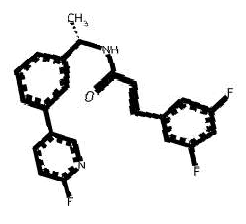 C[C@H](NC(=O)/C=C/c1cc(F)cc(F)c1)c1cccc(-c2ccc(F)nc2)c1